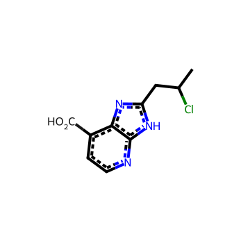 CC(Cl)Cc1nc2c(C(=O)O)ccnc2[nH]1